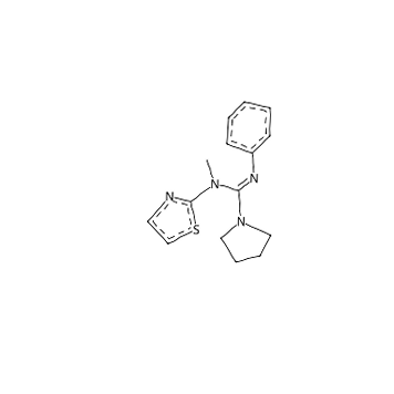 CN(C(=Nc1ccccc1)N1CCCC1)c1nccs1